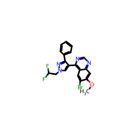 COc1cc2ncnc(-c3cn(CC(F)F)nc3-c3ccccc3)c2cc1Br